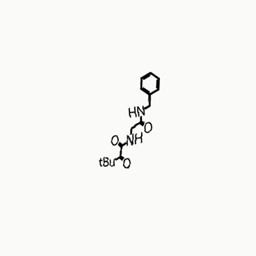 CC(C)(C)C(=O)C(=O)NCC(=O)NCc1ccccc1